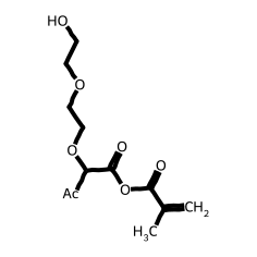 C=C(C)C(=O)OC(=O)C(OCCOCCO)C(C)=O